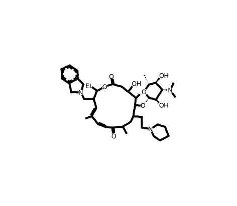 CCC1OC(=O)CC(O)C(C)C(O[C@@H]2O[C@H](C)[C@@H](O)[C@H](N(C)C)[C@H]2O)C(CCN2CCCCC2)CC(C)C(=O)/C=C\C(C)=C\C1CN1Cc2ccccc2C1